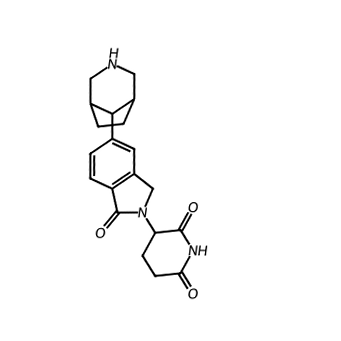 O=C1CCC(N2Cc3cc(C4C5CCC4CNC5)ccc3C2=O)C(=O)N1